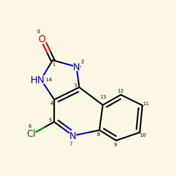 O=C1[N]c2c(c(Cl)nc3ccccc23)N1